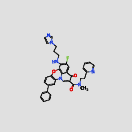 CN(CCc1ccccn1)C(=O)c1cn2c3c(c(NCCCn4ccnc4)c(F)cc3c1=O)Oc1ccc(-c3ccccc3)cc1-2